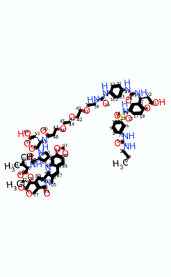 CCCNC(=O)Nc1cccc(S(=O)(=O)Nc2cccc([C@H](CC(=O)O)NC(=O)Nc3ccc(NC(=O)NCCOCCOCCOCCC(=O)N[C@@H](CC(=O)O)C(=O)N4CCC[C@H]4C(=O)N[C@H](C(=O)O[C@]4(CC)C(=O)OCc5c4cc4n(c5=O)Cc5cc6cc7c(cc6nc5-4)OCO7)C(C)C)cc3)c2)c1